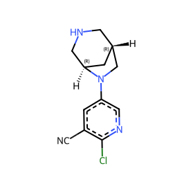 N#Cc1cc(N2C[C@H]3CNC[C@H]2C3)cnc1Cl